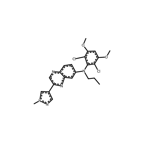 CCCN(c1ccc2ncc(-c3cnn(C)c3)nc2c1)c1c(Cl)c(OC)cc(OC)c1Cl